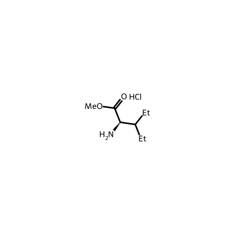 CCC(CC)[C@@H](N)C(=O)OC.Cl